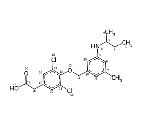 CCC(C)Nc1cc(C)cc(COc2c(Cl)cc(CC(=O)O)cc2Cl)c1